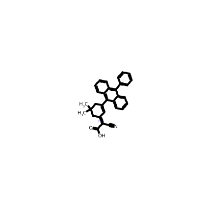 CC1(C)CC(c2c3ccccc3c(-c3ccccc3)c3ccccc23)=C/C(=C(\C#N)C(=O)O)C1